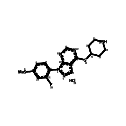 CSc1ccc(-n2ncc3c(SC4CCNCC4)ncnc32)c(F)c1.Cl